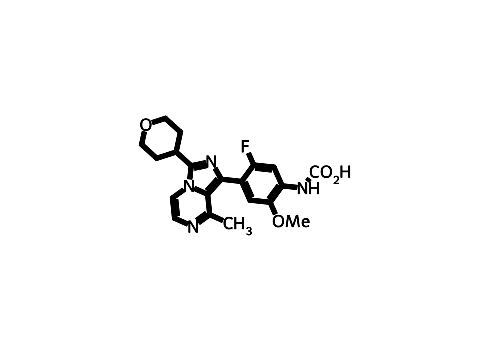 COc1cc(-c2nc(C3CCOCC3)n3ccnc(C)c23)c(F)cc1NC(=O)O